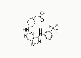 COC(=O)CN1CCC(Nc2ncc3ncnc(Nc4cccc(C(F)(F)F)c4)c3n2)CC1